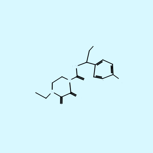 CCC(NC(=O)N1CCN(CC)C(=O)C1=O)c1ccc(O)cc1